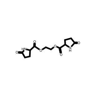 O=C1CCC(C(=O)OCCOC(=O)C2CCC(=O)N2)N1